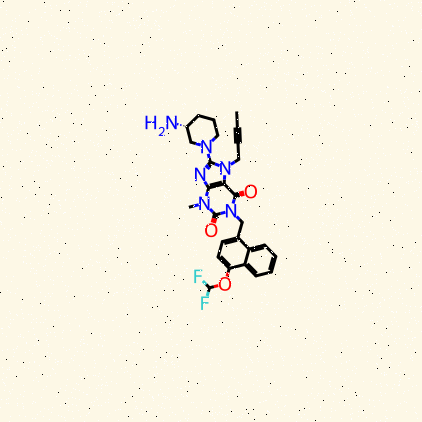 CC#CCn1c(N2CCC[C@@H](N)C2)nc2c1c(=O)n(Cc1ccc(OC(F)F)c3ccccc13)c(=O)n2C